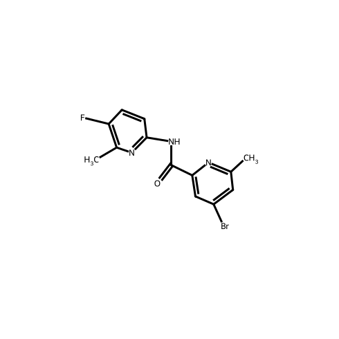 Cc1cc(Br)cc(C(=O)Nc2ccc(F)c(C)n2)n1